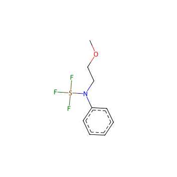 COCCN(c1ccccc1)S(F)(F)F